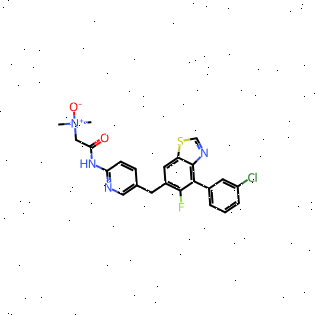 C[N+](C)([O-])CC(=O)Nc1ccc(Cc2cc3scnc3c(-c3cccc(Cl)c3)c2F)cn1